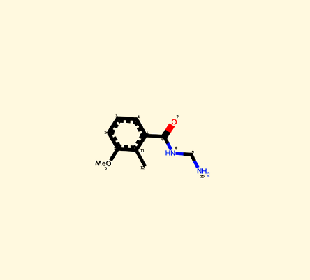 COc1cccc(C(=O)NCN)c1C